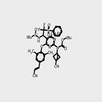 CCOC(=O)c1nc(N(C(=O)OC(C)(C)C)C23CC(C#N)(C2)C3)nc(Oc2c(C)cc(/C=C/C#N)cc2C)c1C(N[S+]([O-])C(C)(C)C)C(F)(F)S(=O)(=O)c1ccccc1